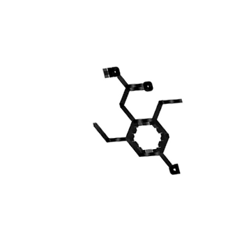 CCc1cc(Cl)cc(CC)c1CC(=O)O